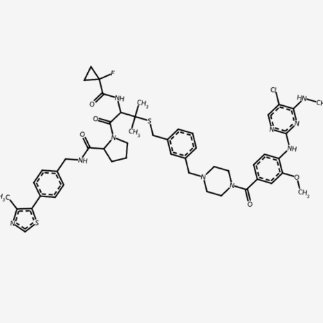 CNc1nc(Nc2ccc(C(=O)N3CCN(Cc4cccc(CSC(C)(C)C(NC(=O)C5(F)CC5)C(=O)N5CCCC5C(=O)NCc5ccc(-c6scnc6C)cc5)c4)CC3)cc2OC)ncc1Cl